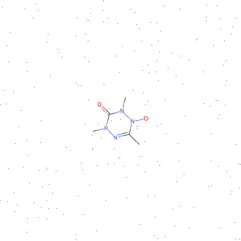 CC1=NN(C)C(=O)N(C)N1[O]